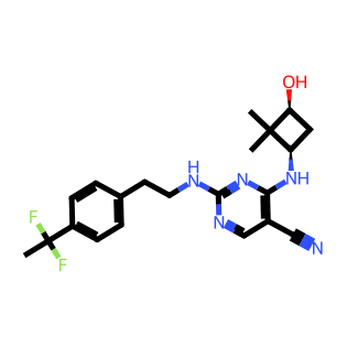 CC(F)(F)c1ccc(CCNc2ncc(C#N)c(N[C@@H]3C[C@H](O)C3(C)C)n2)cc1